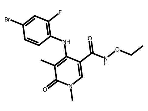 CCONC(=O)c1cn(C)c(=O)c(C)c1Nc1ccc(Br)cc1F